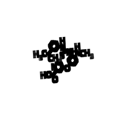 CNc1ccc(Oc2ccnc(C(=O)O)c2)cc1NC(=S)Nc1cccc(C(C)C)c1